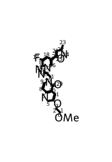 COCCOc1cnc2ccn(Cc3nnc4c(F)cc(-c5cc(C)no5)cn34)c(=O)c2c1